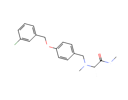 CNC(=O)[C@H](C)N(C)Cc1ccc(OCc2cccc(Cl)c2)cc1